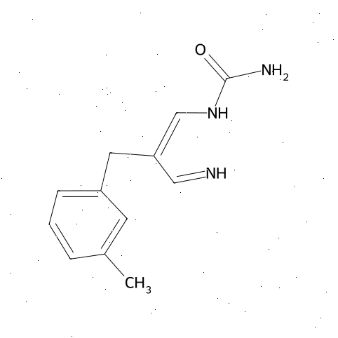 Cc1cccc(C/C(C=N)=C/NC(N)=O)c1